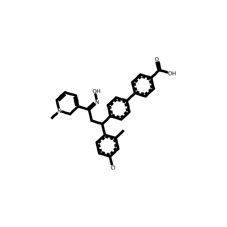 Cc1cc(Cl)ccc1C(CC(=NO)C1=CC=CN(C)C1)c1ccc(-c2ccc(C(=O)O)cc2)cc1